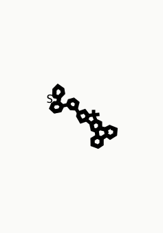 CC1(C)c2cc(-c3cccc(-c4cccc5sc6ccccc6c45)c3)ccc2-c2cc3c4ccccc4c4ccccc4c3cc21